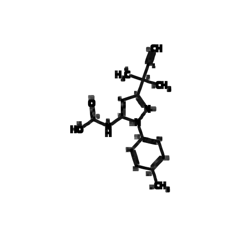 C#CC(C)(C)c1cc(NC(=O)O)n(-c2ccc(C)cc2)n1